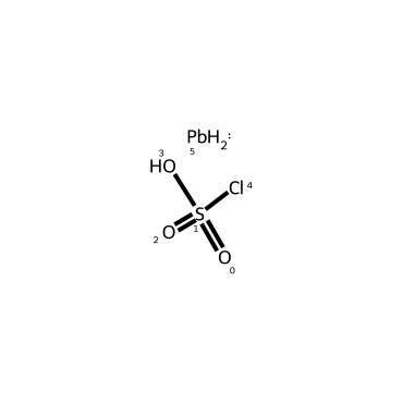 O=S(=O)(O)Cl.[PbH2]